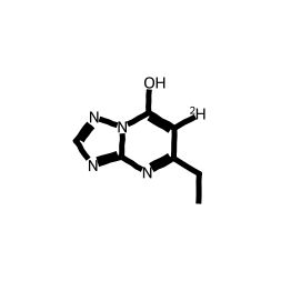 [2H]c1c(CC)nc2ncnn2c1O